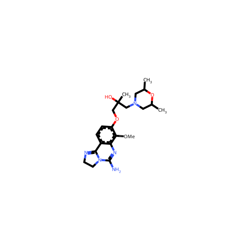 COc1c(OCC(C)(O)CN2CC(C)OC(C)C2)ccc2c1N=C(N)N1CCN=C21